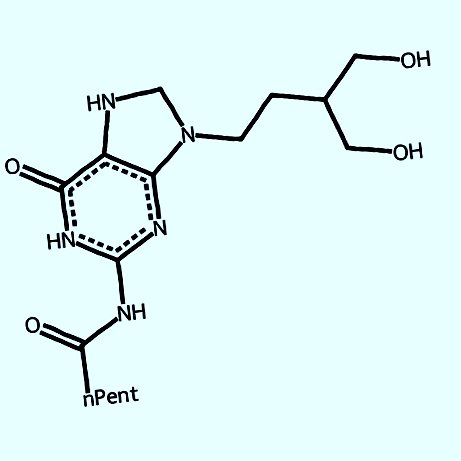 CCCCCC(=O)Nc1nc2c(c(=O)[nH]1)NCN2CCC(CO)CO